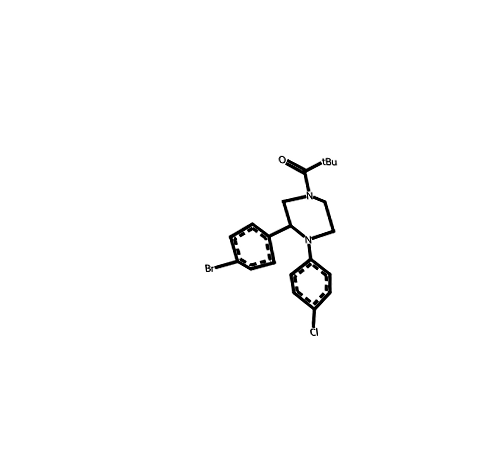 CC(C)(C)C(=O)N1CCN(c2ccc(Cl)cc2)C(c2ccc(Br)cc2)C1